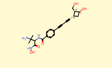 CC(C)(N)C(NC(=O)c1ccc(C#CC#C[C@H]2C[C@H](O)[C@@H]2CO)cc1)C(=O)NO